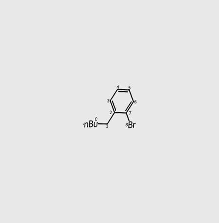 CCC[CH]Cc1ccccc1Br